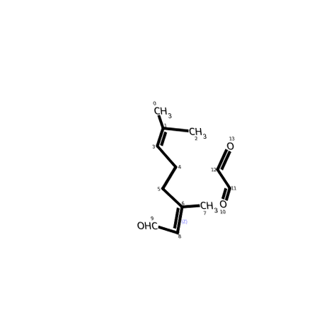 CC(C)=CCC/C(C)=C\C=O.O=CC=O